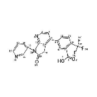 O=C(O)c1cc(-c2ccnc3c2CC(=O)N3c2cccnc2)ccc1C(F)(F)F